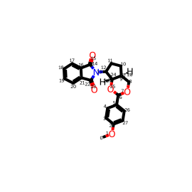 COc1ccc(C2OC[C@@H]3CCC(N4C(=O)c5ccccc5C4=O)[C@H]3O2)cc1